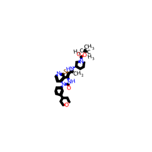 C=C(N[C@@H]1CCCN(C(=O)OC(C)(C)C)C1)c1sc2nccc3c2c1NC(=O)N3c1cccc(C2CCOCC2)c1